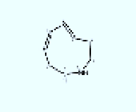 C1=C\CNNCC/C=C/1